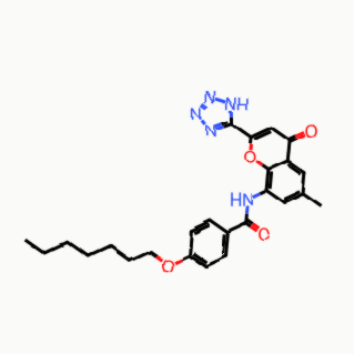 CCCCCCCOc1ccc(C(=O)Nc2cc(C)cc3c(=O)cc(-c4nnn[nH]4)oc23)cc1